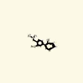 CCN(CC)Cc1ccc(-c2ccccc2Cl)cc1C#N